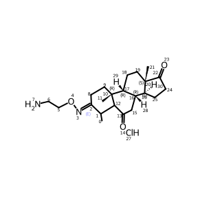 CC1/C(=N/OCCN)CC[C@@]2(C)C1C(=O)C[C@@H]1[C@H]2CC[C@]2(C)C(=O)CC[C@@H]12.Cl